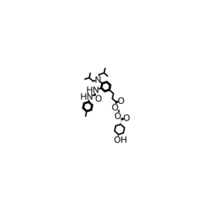 Cc1ccc(NC(=O)Nc2cc(CCC(=O)OCOC(=O)[C@H]3CC[C@H](O)CC3)ccc2N(CC(C)C)CC(C)C)cc1